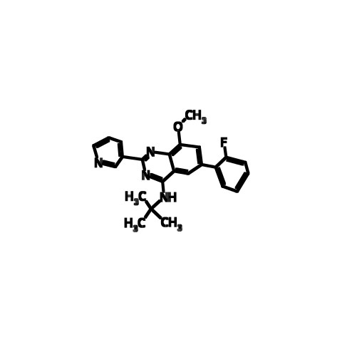 COc1cc(-c2ccccc2F)cc2c(NC(C)(C)C)nc(-c3cccnc3)nc12